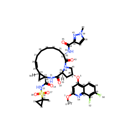 CC(C)Oc1cc(O[C@@H]2C[C@H]3C(=O)N[C@]4(C(=O)NS(=O)(=O)C5(C)CC5)C[C@H]4C=CCCCCC[C@H](NC(=O)c4ccn(C)n4)C(=O)N3C2)c2ccc(F)c(F)c2n1